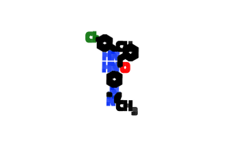 Cc1cn(-c2ccc(NC(=O)C(NC(C)c3ccc(Cl)cc3)c3ccccc3)cc2)cn1